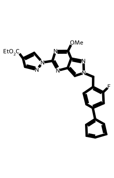 CCOC(=O)c1cnn(-c2nc(OC)c3nn(Cc4ccc(-c5ccccc5)cc4F)cc3n2)c1